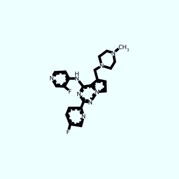 CN1CCN(Cc2ccn3nc(-c4ccc(F)cn4)nc(Nc4ccncc4F)c23)CC1